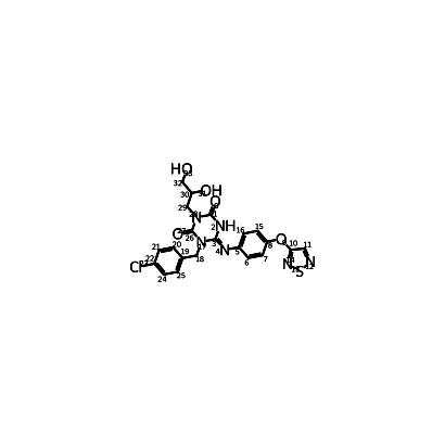 O=c1[nH]/c(=N\c2ccc(Oc3cnsn3)cc2)n(Cc2ccc(Cl)cc2)c(=O)n1CC(O)CO